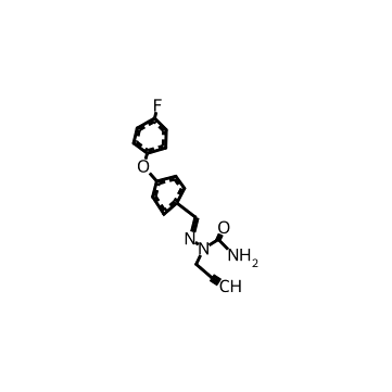 C#CCN(N=Cc1ccc(Oc2ccc(F)cc2)cc1)C(N)=O